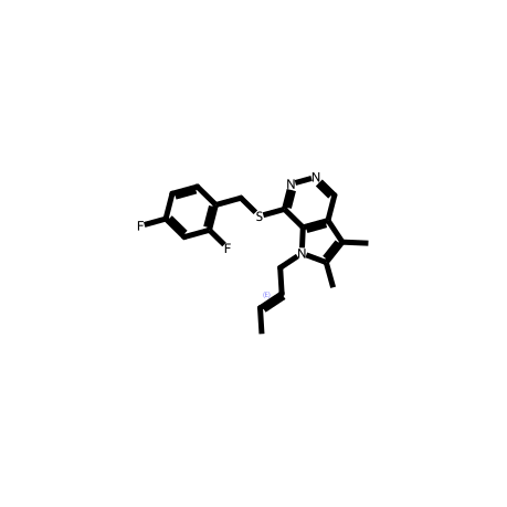 C/C=C/Cn1c(C)c(C)c2cnnc(SCc3ccc(F)cc3F)c21